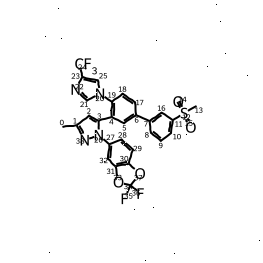 Cc1cc(-c2cc(-c3cccc(S(C)(=O)=O)c3)ccc2-n2cnc(C(F)(F)F)c2)n(-c2ccc3c(c2)OC(F)(F)O3)n1